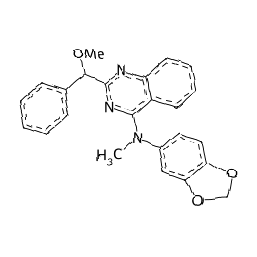 COC(c1ccccc1)c1nc(N(C)c2ccc3c(c2)OCO3)c2ccccc2n1